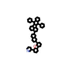 C1=CC2c3cccc(-c4ccc5ccc(-c6ccc7c8c(cccc68)-c6c-7c(-c7ccccc7)c7ccccc7c6-c6ccccc6)cc5c4)c3OC2C(c2cccnc2)=C1